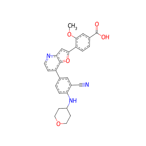 COc1cc(C(=O)O)ccc1-c1cc2nccc(-c3ccc(NC4CCOCC4)c(C#N)c3)c2o1